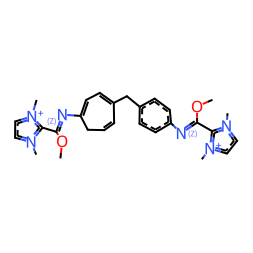 CO/C(=N\C1=CC=C(Cc2ccc(/N=C(\OC)c3n(C)cc[n+]3C)cc2)C=CC1)c1n(C)cc[n+]1C